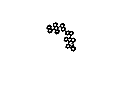 c1ccc2c(-c3c4ccccc4c(-c4cccc5cc(-c6ccc7c(-c8c9ccccc9c(-c9cccc%10c9oc9ccccc9%10)c9ccccc89)cccc7c6)ccc45)c4ccccc34)cccc2c1